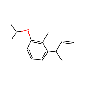 [CH2]C(C=C)c1cccc(OC(C)C)c1C